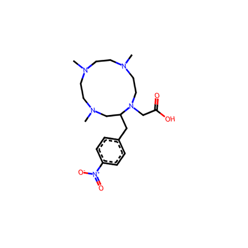 CN1CCN(C)CCN(CC(=O)O)C(Cc2ccc([N+](=O)[O-])cc2)CN(C)CC1